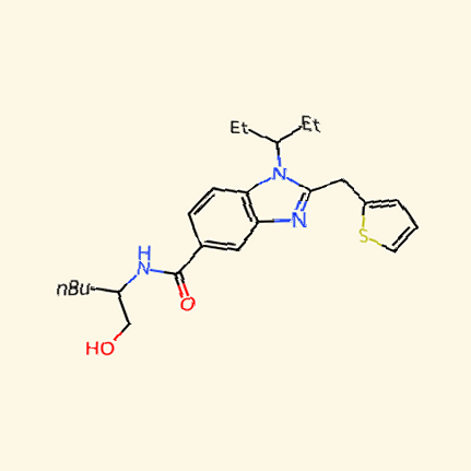 CCCCC(CO)NC(=O)c1ccc2c(c1)nc(Cc1cccs1)n2C(CC)CC